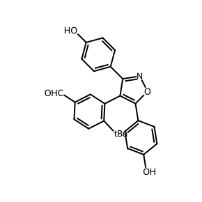 CC(C)(C)c1ccc(C=O)cc1-c1c(-c2ccc(O)cc2)noc1-c1ccc(O)cc1